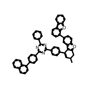 CC1C=C(c2ccc(-c3nc(-c4ccccc4)nc(-c4ccc(-c5cccc6ccccc56)cc4)n3)cc2)c2c(oc3ccc(-c4cccc5c4oc4ccccc45)cc23)C1